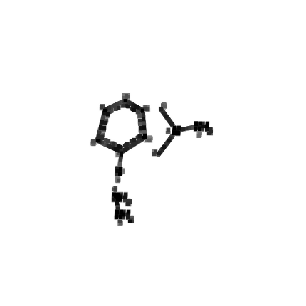 CN(C)N.NN.[B]c1ccccc1